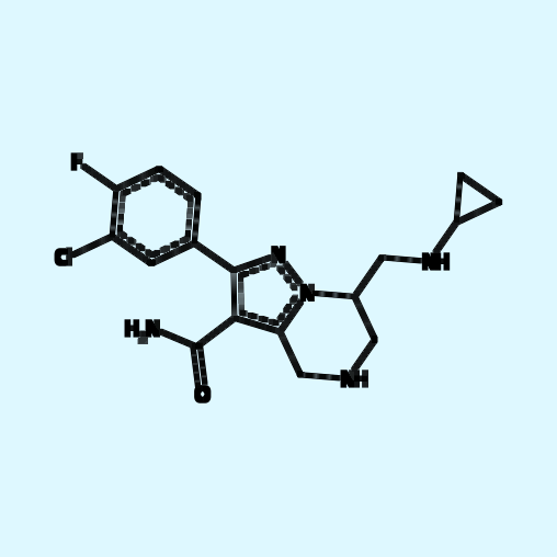 NC(=O)c1c(-c2ccc(F)c(Cl)c2)nn2c1CNCC2CNC1CC1